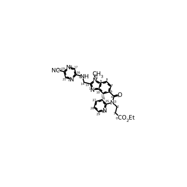 CCOC(=O)CCN(C(=O)c1ccc2c(c1)nc(CNc1cnc(C#N)cn1)n2C)c1ccccn1